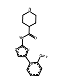 COc1ccccc1-c1csc(NC(=O)C2CCNCC2)n1